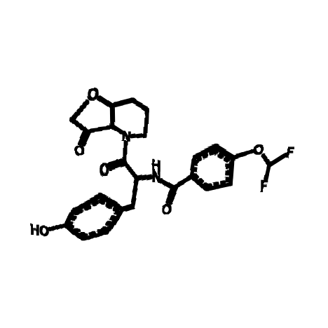 O=C(NC(Cc1ccc(O)cc1)C(=O)N1CCCC2OCC(=O)C21)c1ccc(OC(F)F)cc1